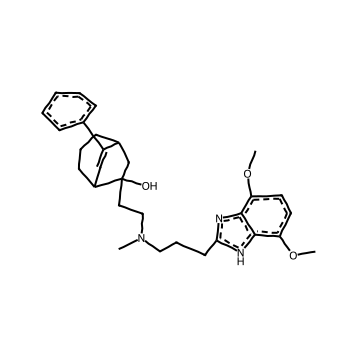 COc1ccc(OC)c2[nH]c(CCCN(C)CCC3(O)CC4CCCC3C=C4c3ccccc3)nc12